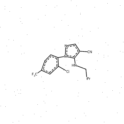 CC(C)CNc1c(C#N)cnn1-c1ccc(C(F)(F)F)cc1Cl